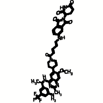 COc1cc2nc(C)nc(N[C@H](C)c3cc(N)cc(C(F)(F)F)c3)c2cc1C1CCN(C(=O)CCCCNc2ccc3c(c2)C(=O)N(C2CCC(=O)NC2=O)C3=O)CC1